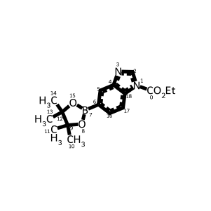 CCOC(=O)n1cnc2cc(B3OC(C)(C)C(C)(C)O3)ccc21